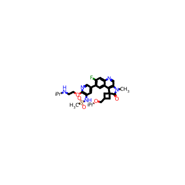 CC(C)NCCOc1ncc(-c2cc3c4c(cnc3cc2F)N(C)C(=O)C42CC(COC(C)C)C2)cc1NS(C)(=O)=O